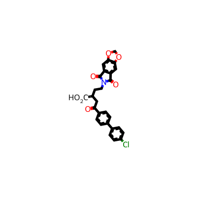 O=C(CC(CCN1C(=O)c2cc3c(cc2C1=O)OCO3)C(=O)O)c1ccc(-c2ccc(Cl)cc2)cc1